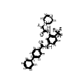 C[C@@H](C(=O)Nc1cc(NC(=O)c2ccc(-c3ccccc3)cc2)ccc1C(F)(F)F)N1CCOCC1